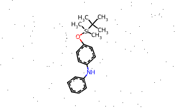 CC(C)(C)[Si](C)(C)Oc1ccc(Nc2ccccc2)cc1